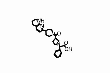 O=C(O)[C@@H](c1ccccc1)N1CC[C@@H](C(=O)N2CCC(c3ccc4c(n3)NCCC4)CC2)C1